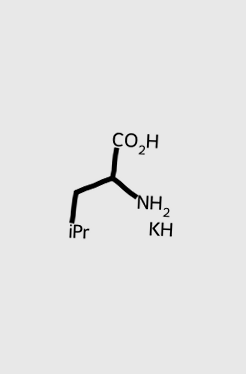 CC(C)CC(N)C(=O)O.[KH]